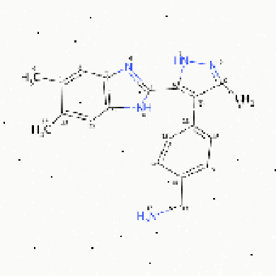 Cc1cc2nc(-c3[nH]nc(C)c3-c3ccc(CN)cc3)[nH]c2cc1C